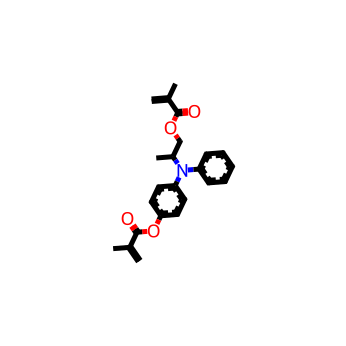 C=C(C)C(=O)OCC(C)N(c1ccccc1)c1ccc(OC(=O)C(=C)C)cc1